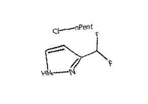 CCCCCCl.FC(F)c1cc[nH]n1